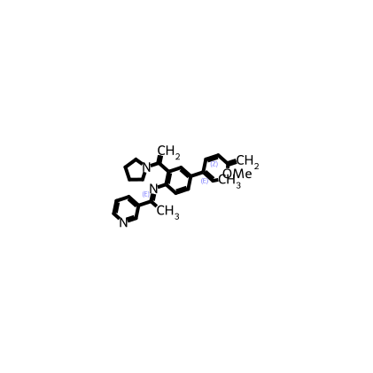 C=C(/C=C\C(=C/C)c1ccc(/N=C(\C)c2cccnc2)c(C(=C)N2CCCC2)c1)OC